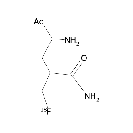 CC(=O)C(N)CC(C[18F])C(N)=O